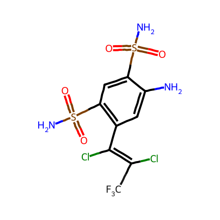 Nc1cc(C(Cl)=C(Cl)C(F)(F)F)c(S(N)(=O)=O)cc1S(N)(=O)=O